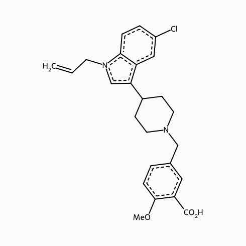 C=CCn1cc(C2CCN(Cc3ccc(OC)c(C(=O)O)c3)CC2)c2cc(Cl)ccc21